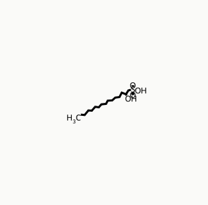 CCCCCCCCCCCCCCC(O)CS(=O)(=O)O